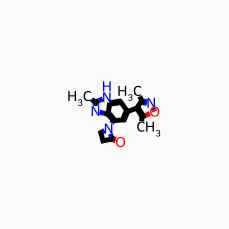 Cc1nc2c(N3CCC3=O)cc(-c3c(C)noc3C)cc2[nH]1